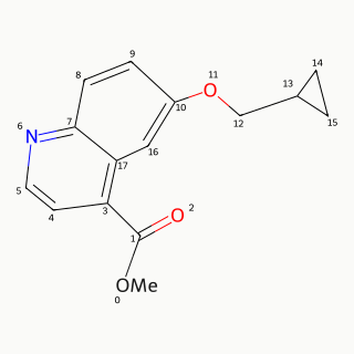 COC(=O)c1ccnc2ccc(OCC3CC3)cc12